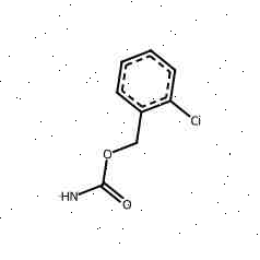 [NH]C(=O)OCc1ccccc1Cl